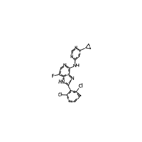 Fc1cnc(Nc2cc(C3CC3)ncn2)c2nc(-c3c(Cl)cccc3Cl)[nH]c12